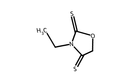 CCN1C(=S)COC1=S